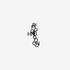 O=S(=O)(Nc1ccc(Oc2cccc3cccnc23)cc1)c1cccc(C(F)(F)F)c1